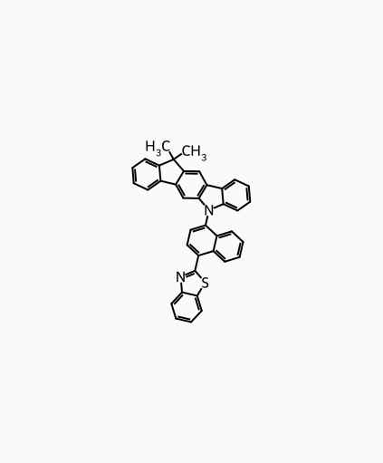 CC1(C)c2ccccc2-c2cc3c(cc21)c1ccccc1n3-c1ccc(-c2nc3ccccc3s2)c2ccccc12